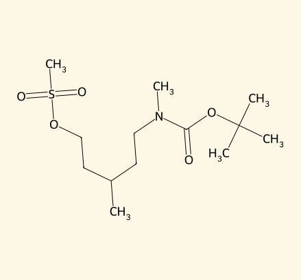 CC(CCOS(C)(=O)=O)CCN(C)C(=O)OC(C)(C)C